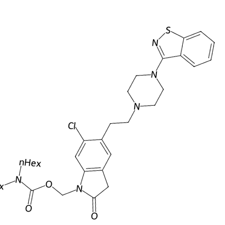 CCCCCCN(CCCCCC)C(=O)OCN1C(=O)Cc2cc(CCN3CCN(c4nsc5ccccc45)CC3)c(Cl)cc21